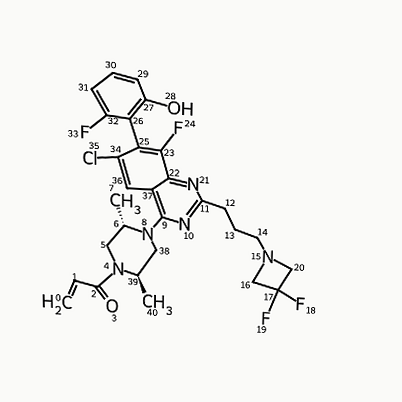 C=CC(=O)N1C[C@H](C)N(c2nc(CCCN3CC(F)(F)C3)nc3c(F)c(-c4c(O)cccc4F)c(Cl)cc23)C[C@H]1C